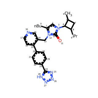 CCCCc1cn(C2C(C)CC2C(C)C)c(=O)n1Cc1cnccc1-c1ccc(-c2nnn[nH]2)cc1